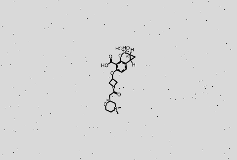 C[N+]1(C)CCO[C@@H](CC(=O)N2CC(Oc3ccc4c(c3C(=O)O)O[B-](O)(O)[C@@H]3C[C@H]43)C2)C1